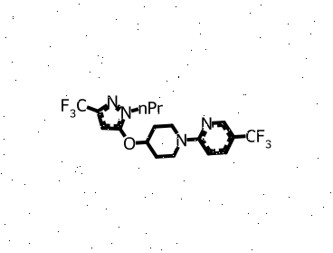 CCCn1nc(C(F)(F)F)cc1OC1CCN(c2ccc(C(F)(F)F)cn2)CC1